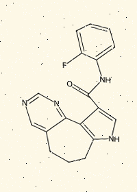 O=C(Nc1ccccc1F)c1c[nH]c2c1-c1ncncc1CCC2